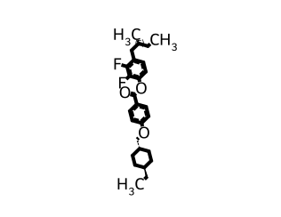 CC[C@H](C)Cc1ccc(OC(=O)c2ccc(OC[C@H]3CC[C@H](CC)CC3)cc2)c(F)c1F